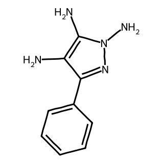 Nc1c(-c2ccccc2)nn(N)c1N